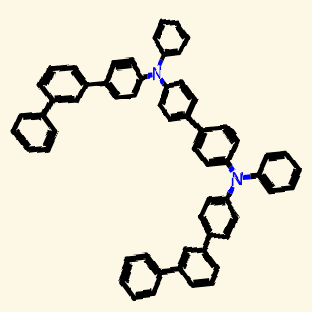 c1ccc(-c2cccc(-c3ccc(N(c4ccccc4)c4ccc(-c5ccc(N(c6ccccc6)c6ccc(-c7cccc(-c8ccccc8)c7)cc6)cc5)cc4)cc3)c2)cc1